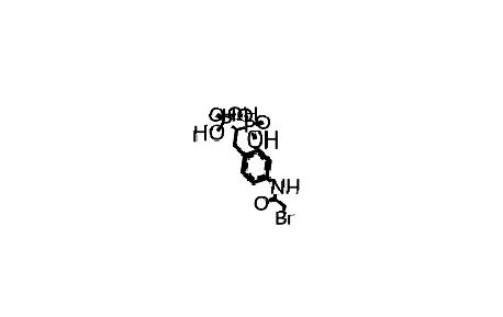 O=C(CBr)Nc1ccc(CC(P(=O)(O)O)P(=O)(O)O)cc1